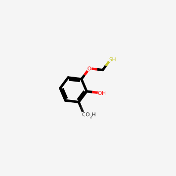 O=C(O)c1cccc(OCS)c1O